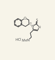 CNCCC1=C[N]C(=S)N1[C@H]1COc2ccccc2C1.Cl